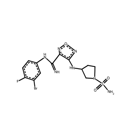 N=C(Nc1ccc(F)c(Br)c1)c1nonc1NC1CCN(S(N)(=O)=O)C1